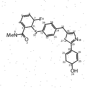 CNC(=O)C1=CC=CC(F)C1Sc1ccc(Cc2cnc(C3=CCC(O)C=C3)s2)cc1